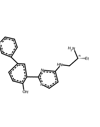 CC[C@@H](N)CNc1ccnc(-c2cc(-c3cccnc3)ccc2O)n1